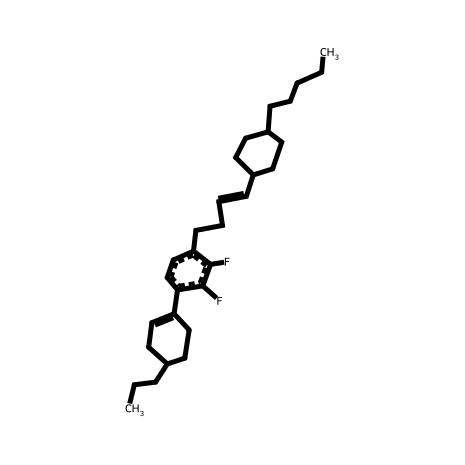 CCCCCC1CCC(/C=C/CCc2ccc(C3=CCC(CCC)CC3)c(F)c2F)CC1